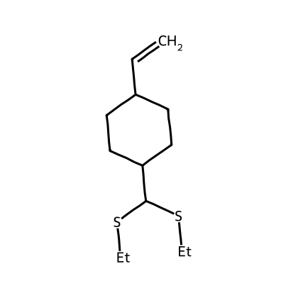 C=CC1CCC(C(SCC)SCC)CC1